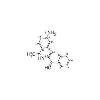 CC(NC(=O)C(O)c1ccccc1)c1ccc(N)cc1